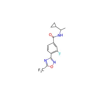 CC(NC(=O)c1ccc(-c2noc(C(F)(F)F)n2)c(F)c1)C1CC1